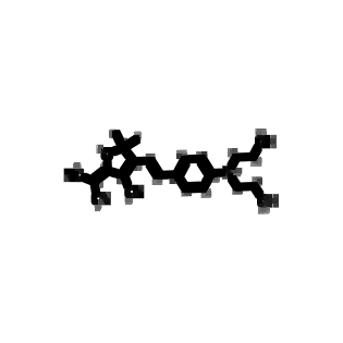 CC1(C)OC(=C(C#N)C#N)C(C#N)=C1/C=C/c1ccc(N(CCO)CCO)cc1